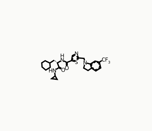 O=C(N[C@@H](CC1CCCCC1)C(=O)NC1CC1)c1cnc(CN2CCc3ccc(C(F)(F)F)cc32)s1